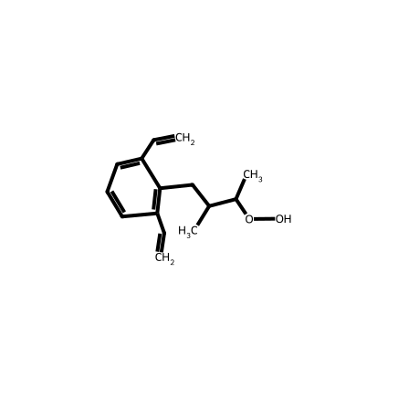 C=Cc1cccc(C=C)c1CC(C)C(C)OO